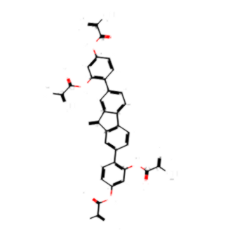 C=C(C)C(=O)Oc1ccc(-c2ccc3c(c2)C(=C)c2cc(-c4ccc(OC(=O)C(=C)C)cc4OC(=O)C(=C)C)ccc2-3)c(OC(=O)C(=C)C)c1